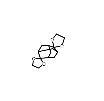 C1COC2(O1)C1CC3CC2CC(C1)C31OCCO1